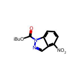 CC(C)COC(=O)n1ncc2c([N+](=O)[O-])cccc21